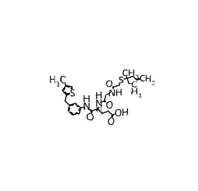 C=CCC(C)(CC)SCC(=O)NCC(=O)N[C@@H](CCC(=O)O)C(=O)Nc1cccc(Cc2cc(C)cs2)c1